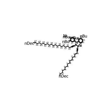 CCCCCCCCCCCCCCCCCCCCCCCCC#CC(=Nc1ccc(CCCC)c(CCCC)c1)C(C#CCCCCCCCCCCCCCCCCCCCCCCCCCCCC)=Nc1ccc(CCCC)c(CCCC)c1.[Ni]